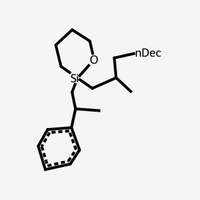 CCCCCCCCCCCC(C)C[Si]1(CC(C)c2ccccc2)CCCCO1